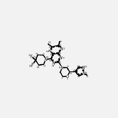 Cc1nc2nc(N3CCOC(c4cnn(C)c4)C3)nc(N3CCC(F)(F)CC3)c2nc1C